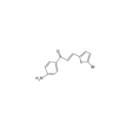 Nc1ccc(C(=O)/C=C/c2ccc(Br)s2)cc1